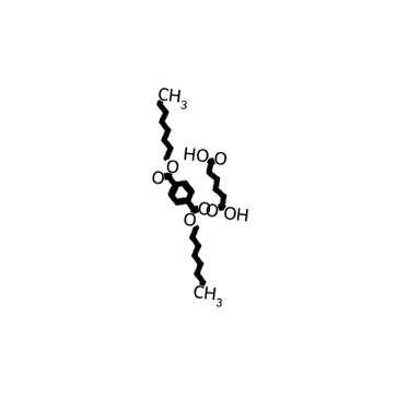 CCCCCCCCOC(=O)c1ccc(C(=O)OCCCCCCCC)cc1.O=C(O)CCCCC(=O)O